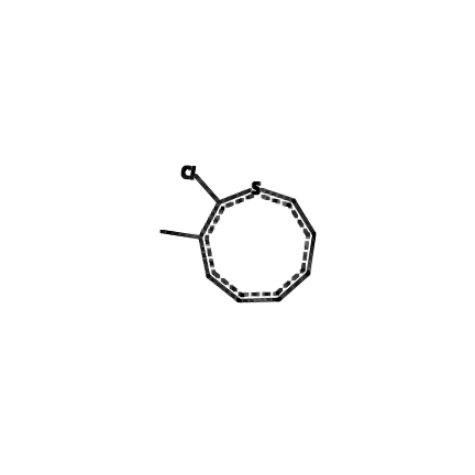 Cc1ccccccsc1Cl